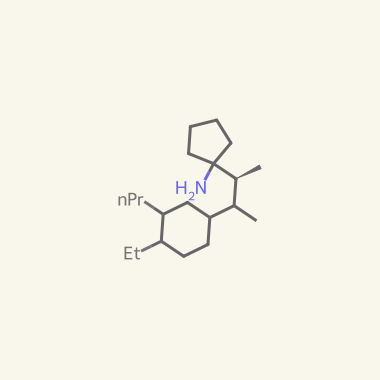 CCCC1CC(C(C)[C@H](C)C2(N)CCCC2)CCC1CC